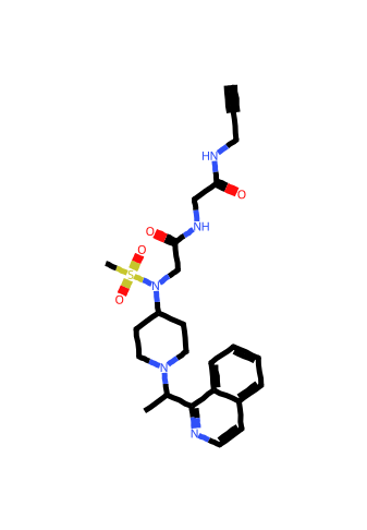 C#CCNC(=O)CNC(=O)CN(C1CCN(C(C)c2nccc3ccccc23)CC1)S(C)(=O)=O